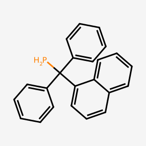 PC(c1ccccc1)(c1ccccc1)c1cccc2ccccc12